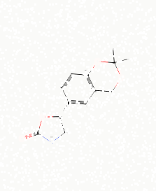 CC1(C)OCc2cc([C@H]3CNC(=O)O3)ccc2O1